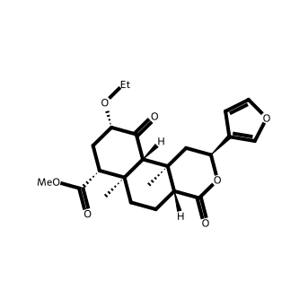 CCO[C@H]1C[C@@H](C(=O)OC)[C@]2(C)CC[C@H]3C(=O)O[C@H](c4ccoc4)C[C@]3(C)[C@H]2C1=O